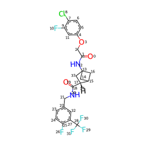 O=C(COc1ccc(Cl)c(F)c1)NC12CC(C1)[C@H](C(=O)NCc1ccc(F)c(C(F)(F)F)c1)C2